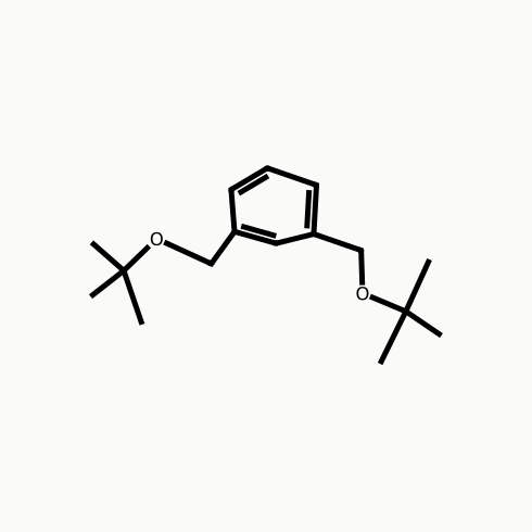 CC(C)(C)OCc1cccc(COC(C)(C)C)c1